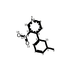 CC1C=CC=C(c2ccncc2[N+](=O)[O-])C1